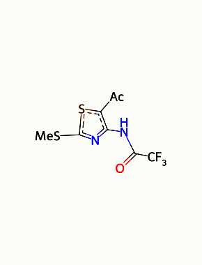 CSc1nc(NC(=O)C(F)(F)F)c(C(C)=O)s1